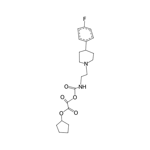 O=C(NCCN1CCC(c2ccc(F)cc2)CC1)OC(=O)C(=O)OC1CCCC1